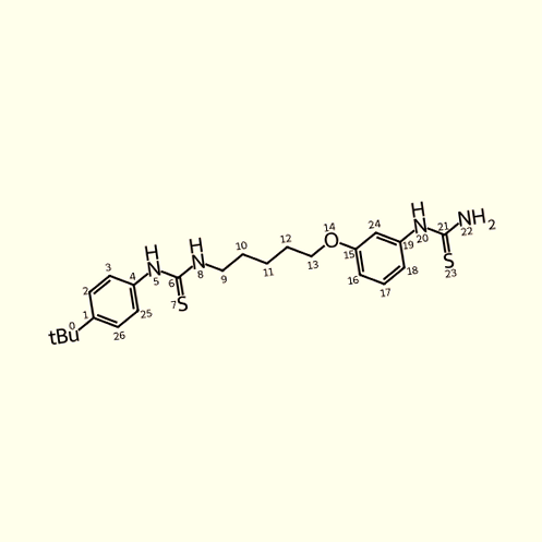 CC(C)(C)c1ccc(NC(=S)NCCCCCOc2cccc(NC(N)=S)c2)cc1